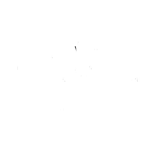 CC(=O)O[C@@H](C(=O)Nc1ccc(C#N)cc1)[C@@H](OC(C)=O)C(=O)N(CCCl)c1ccc(C(C)(C)C)cc1